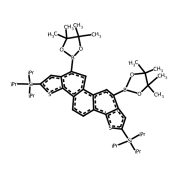 CC(C)[Si](c1cc2c(B3OC(C)(C)C(C)(C)O3)cc3c4cc(B5OC(C)(C)C(C)(C)O5)c5cc([Si](C(C)C)(C(C)C)C(C)C)sc5c4ccc3c2s1)(C(C)C)C(C)C